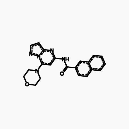 O=C(Nc1cc(N2CCOCC2)n2nccc2n1)c1ccc2ccccc2c1